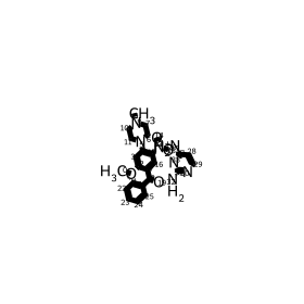 COc1cc(N2CCN(C)CC2)c([N+](=O)[O-])cc1C(=O)c1ccccc1.Nc1ccnc(N)n1